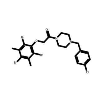 Cc1c(Br)c(C)c(Br)c(OCC(=O)N2CCN(Cc3ccc(Cl)cc3)CC2)c1Br